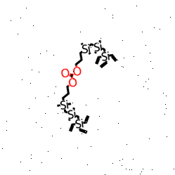 C=C[Si](C=C)(C=C)C[Si](C)(C)C[Si](C)(C)CCCOC(=O)OCCC[Si](C)(C)C[Si](C)(C)C[Si](C=C)(C=C)C=C